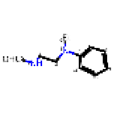 CCN(CCNC=O)c1ccccc1